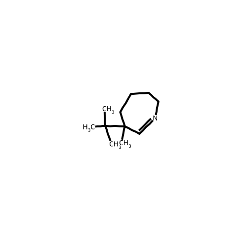 CC(C)(C)C1(C)C=NCCCC1